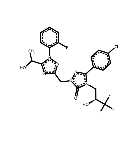 CC(O)c1nc(Cn2nc(-c3ccc(Cl)cc3)n(C[C@H](O)C(F)(F)F)c2=O)nn1-c1ccccc1F